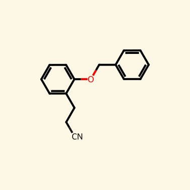 N#CCCc1ccccc1OCc1ccccc1